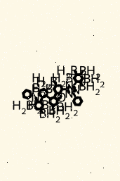 Bc1cc(B)c2c(c1)c1c(-c3c(B)c(B)c(B)c4oc5c(-c6nc(-c7ccccc7)nc(-c7c(B)c(B)c(B)c(B)c7B)n6)cc(B)c(B)c5c34)ccc(B)c1n2-c1ccccc1